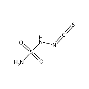 NS(=O)(=O)NN=C=S